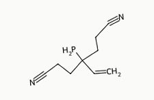 C=CC(P)(CCC#N)CCC#N